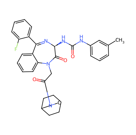 Cc1cccc(NC(=O)N[C@@H]2N=C(c3ccccc3F)c3ccccc3N(CC(=O)N3CC4CCC(CC4)C3)C2=O)c1